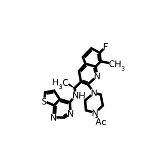 CC(=O)N1CCN(c2nc3c(C)c(F)ccc3cc2[C@H](C)Nc2ncnc3sccc23)CC1